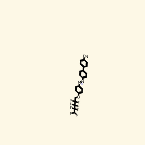 N#Cc1ccc(-c2ccc(/N=N/c3ccc(OCC(F)(F)C(F)(F)C(F)(F)C(F)F)cc3)cc2)cc1